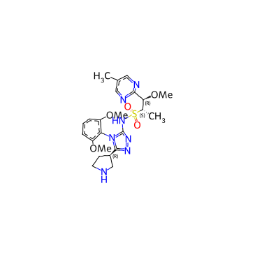 COc1cccc(OC)c1-n1c(NS(=O)(=O)[C@@H](C)[C@H](OC)c2ncc(C)cn2)nnc1[C@@H]1CCNC1